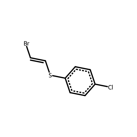 Clc1ccc(SC=CBr)cc1